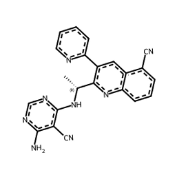 C[C@@H](Nc1ncnc(N)c1C#N)c1nc2cccc(C#N)c2cc1-c1ccccn1